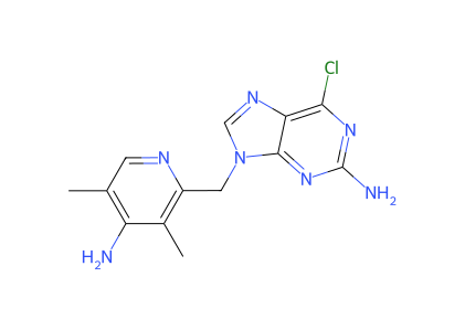 Cc1cnc(Cn2cnc3c(Cl)nc(N)nc32)c(C)c1N